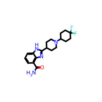 NC(=O)c1cccc2[nH]c(C3CCN(C4CCC(F)(F)CC4)CC3)nc12